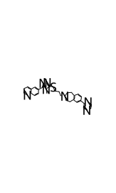 Cn1c(SCCCN2CCc3ccc(-c4cnccn4)cc3CC2)nnc1-c1ccc2ncccc2c1